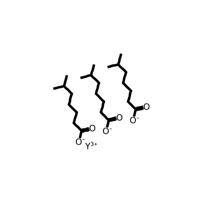 CC(C)CCCCC(=O)[O-].CC(C)CCCCC(=O)[O-].CC(C)CCCCC(=O)[O-].[Y+3]